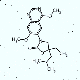 CCC1(CC(C)C)CN(c2cc3c(OC)ncnc3cc2OC)C(=O)O1